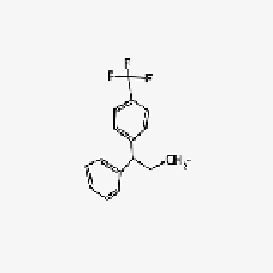 [CH2]CC(c1ccccc1)c1ccc(C(F)(F)F)cc1